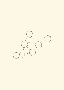 c1ccc(-c2cncc(-n3c4ccccc4c4ccc5c(c6ccccc6c6nc7ccccc7n56)c43)c2)cc1